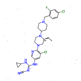 CC[C@H]1CN(c2ncc(N/C(=N/C#N)NC3CC3)cc2Cl)CCN1C1CCN(Cc2ccc(Cl)cc2F)CC1